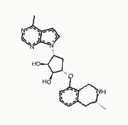 Cc1ncnc2c1ccn2[C@@H]1C[C@H](Oc2cccc3c2CN[C@H](C)C3)[C@@H](O)[C@H]1O